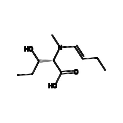 CC/C=C/N(C)[C@H](C(=O)O)C(O)CC